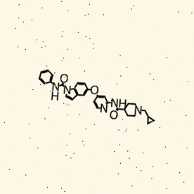 O=C(Nc1cc(Oc2ccc3c(ccn3C(=O)Nc3ccccc3)c2)ccn1)C1CCN(CC2CC2)CC1